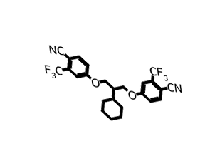 N#Cc1ccc(OCC(COc2ccc(C#N)c(C(F)(F)F)c2)C2CCCCC2)cc1C(F)(F)F